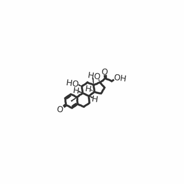 C[C@]12C=CC(=O)C=C1CC[C@@H]1[C@H]2[C@@H](O)C[C@@]2(C)[C@H]1CC[C@]2(O)C(=O)CO